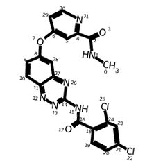 CNC(=O)c1cc(Oc2ccc3nnc(NC(=O)c4ccc(Cl)cc4Cl)nc3c2)ccn1